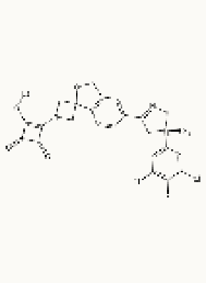 CCOc1c(N2CC3(C2)OCc2cc(C4=NS[C@@](c5cc(Cl)c(F)c(Cl)c5)(C(F)(F)F)C4)ccc23)c(=O)c1=O